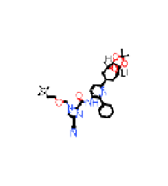 CC1(C)O[C@@H]2[C@H](O1)[C@@]1(C)CC(c3ccc(NC(=O)c4nc(C#N)cn4COCC[Si](C)(C)C)c(C4=CCCCC4)n3)C[C@]2(C)O1